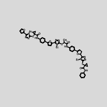 CCn1c(SC(C)C(=O)Nc2ccc(C3=CCC(c4nnc(SC5(C(=O)Nc6ccccc6)CC5)n4CC)O3)cc2)nnc1-c1ccc(-c2ccc(NC(=O)C3(Sc4nnc(-c5ccco5)n4C(C)=O)CC3)cc2)o1